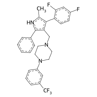 Cc1[nH]c(-c2ccccc2)c(CN2CCN(c3cccc(C(F)(F)F)c3)CC2)c1-c1ccc(F)cc1F